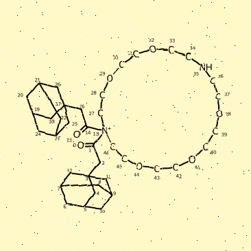 O=C(CC12CC3CC(CC(C3)C1)C2)[N+]1(C(=O)CC23CC4CC(CC(C4)C2)C3)CCOCCOCCNCCOCCOCCOCC1